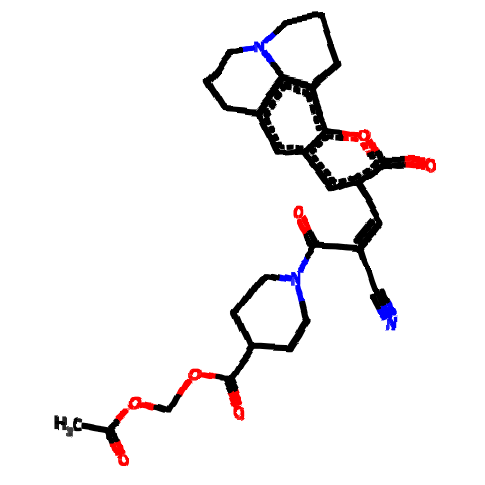 CC(=O)OCOC(=O)C1CCN(C(=O)C(C#N)=Cc2cc3cc4c5c(c3oc2=O)CCCN5CCC4)CC1